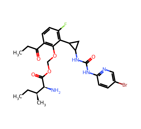 CCC(=O)c1ccc(F)c(C2CC2NC(=O)Nc2ccc(Br)cn2)c1OCOC(=O)[C@@H](N)[C@@H](C)CC